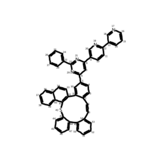 C1=C\c2ccc(-c3cc(-c4ccc(-c5cccnc5)nc4)nc(-c4ccccc4)n3)cc2-c2ccc3ccccc3c2Sc2ccccc2-c2ccccc2/1